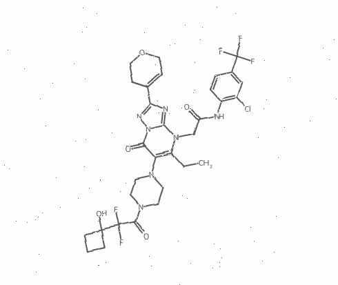 CCc1c(N2CCN(C(=O)C(F)(F)C3(O)CCC3)CC2)c(=O)n2nc(C3=CCOCC3)nc2n1CC(=O)Nc1ccc(C(F)(F)F)cc1Cl